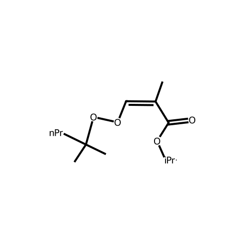 CCCC(C)(C)OOC=C(C)C(=O)O[C](C)C